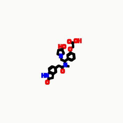 CN(C(=O)Cc1ccc2c(c1)CC(=O)N2)C(CN1CC[C@H](O)C1)c1cccc(OCC(=O)O)c1